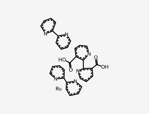 O=C(O)c1cccnc1-c1ncccc1C(=O)O.[Ru].c1ccc(-c2ccccn2)nc1.c1ccc(-c2ccccn2)nc1